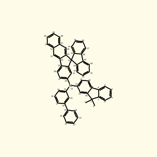 CC1(C)c2ccccc2-c2ccc(N(c3cccc(-c4ccccc4)c3)c3ccc4c(c3)C3(c5ccccc5-c5ccccc53)c3cc5ccccc5cc3-4)cc21